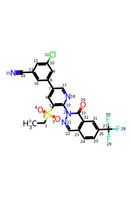 CCS(=O)(=O)c1cc(-c2cc(Cl)cc(C#N)c2)cnc1-n1ncc2ccc(C(F)(F)F)cc2c1=O